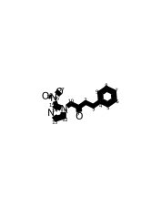 O=C(CCc1ccccc1)Cn1ccnc1[N+](=O)[O-]